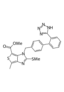 COC(=O)c1sc(C)c2nc(SC)n(Cc3ccc(-c4ccccc4-c4nnn[nH]4)cc3)c12